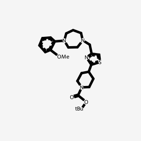 COc1ccccc1N1CCCN(Cc2csc(C3CCN(C(=O)OC(C)(C)C)CC3)n2)CC1